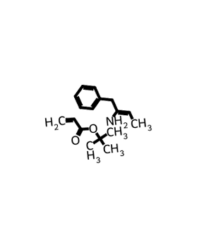 C=CC(=O)OC(C)(C)C.CC=C(N)Cc1ccccc1